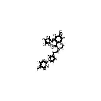 CCN(CCc1ccn(-c2ccc(F)cn2)n1)C(=O)c1ccc(F)cc1-n1nccn1